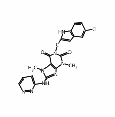 Cn1c(Nc2cccnn2)nc2c1c(=O)n(Cc1cc3cc(Cl)ccc3[nH]1)c(=O)n2C